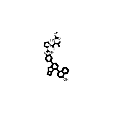 COC(=O)N[C@H](C(=O)N1CCC[C@H]1c1nc2ccc(-c3ccc(-c4ccc(O)c5ccccc45)c4c3CC3CCC43)cc2[nH]1)C(C)C